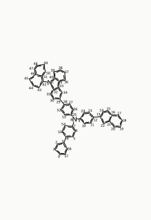 c1ccc(-c2ccc(N(c3ccc(-c4ccc5ccccc5c4)cc3)c3ccc(-c4ccc5c(c4)c4ccccc4n5-c4cccc5ccccc45)cc3)cc2)cc1